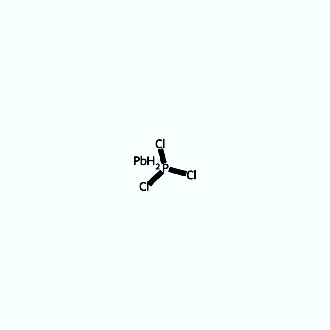 ClP(Cl)Cl.[PbH2]